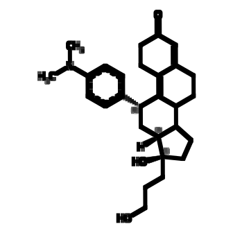 CN(C)c1ccc([C@H]2C[C@@H]3C(CC[C@]3(O)CCCO)C3CCC4=CC(=O)CCC4=C32)cc1